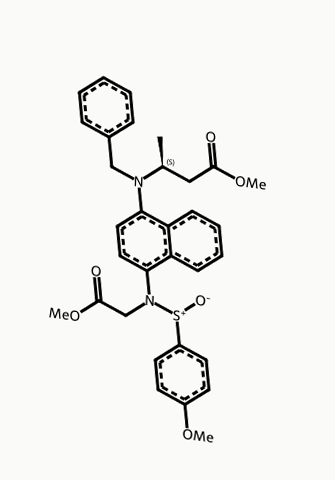 COC(=O)C[C@H](C)N(Cc1ccccc1)c1ccc(N(CC(=O)OC)[S+]([O-])c2ccc(OC)cc2)c2ccccc12